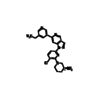 CCc1cncc(-c2cc3c(cn2)cnn3-c2ccc(Cl)c(N3CCC[C@H](N)C3)n2)c1